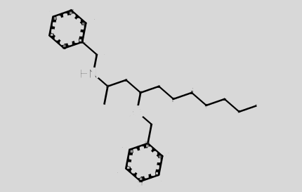 [CH2]CCCCCCC(CC(C)NCc1ccccc1)OCc1ccccc1